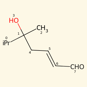 CC(C)C(C)(O)CC=CC=O